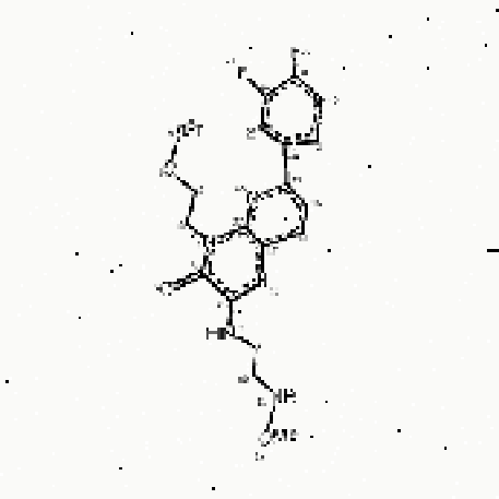 CCCOCCn1c(=O)c(NCCNOC)nc2ccc(-c3ccc(F)c(F)c3)nc21